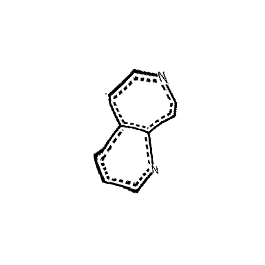 [c]1cncc2ncccc12